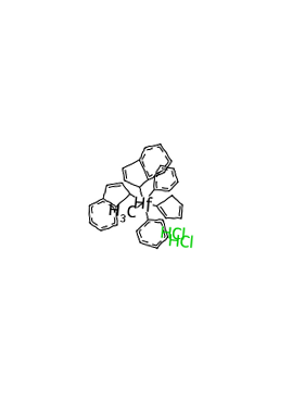 Cl.Cl.[CH3][Hf]([C]1=CC=CC1)([c]1ccccc1)([c]1ccccc1)([CH]1C=Cc2ccccc21)[CH]1C=Cc2ccccc21